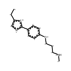 CCc1cnc(-c2ccc(OCCCNC)cc2)s1